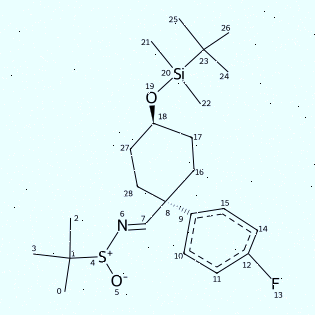 CC(C)(C)[S+]([O-])N=C[C@]1(c2ccc(F)cc2)CC[C@H](O[Si](C)(C)C(C)(C)C)CC1